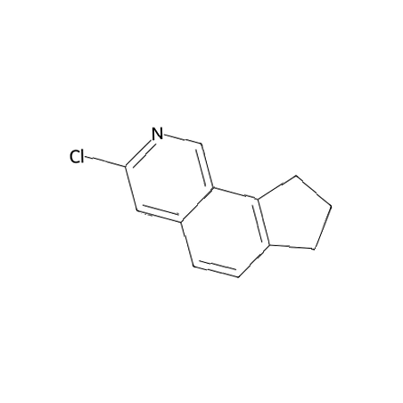 Clc1cc2ccc3c(c2cn1)CCC3